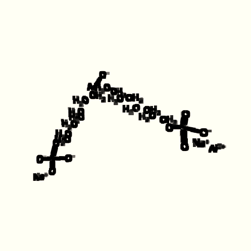 CC(=O)[O-].O.O.O.O.O.O.O.O.O.O.O.O.O.O.O.O=S(=O)([O-])[O-].O=S(=O)([O-])[O-].[Al+3].[Na+].[Na+]